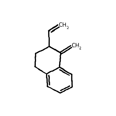 C=CC1CCc2ccccc2C1=C